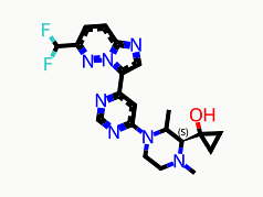 CC1[C@@H](C2(O)CC2)N(C)CCN1c1cc(-c2cnc3ccc(C(F)F)nn23)ncn1